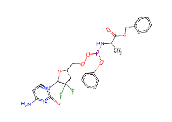 CC(NP(OOCC1CC(F)(F)C(n2ccc(N)nc2=O)O1)Oc1ccccc1)C(=O)OCc1ccccc1